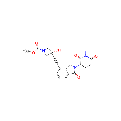 CC(C)(C)OC(=O)N1CC(O)(C#Cc2cccc3c2CN(C2CCC(=O)NC2=O)C3=O)C1